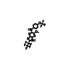 COc1nc2[nH]c(C(F)(F)C(F)(F)F)nc2nc1Nc1ccc(OC(F)(F)F)cc1